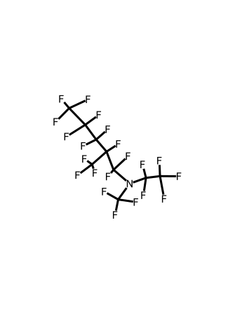 FC(F)(F)N(C(F)(F)C(F)(F)F)C(F)(F)C(F)(C(F)(F)F)C(F)(F)C(F)(F)C(F)(F)F